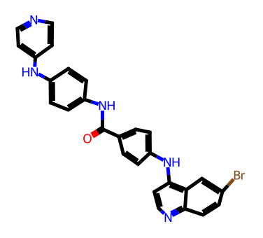 O=C(Nc1ccc(Nc2ccncc2)cc1)c1ccc(Nc2ccnc3ccc(Br)cc23)cc1